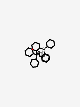 B[PH](c1ccccc1B(C1CCCCC1)C1CCCCC1)(C1CCCCC1)C1CCCCC1